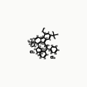 CCc1cc(C(C)(C)C)cc2c1=C1C=CC(CC)(C(C)(C)C)C(C3=CC=CC3)=C1[C]=2[Zr+2]=[C](c1ccccc1)c1ccccc1.[Cl-].[Cl-]